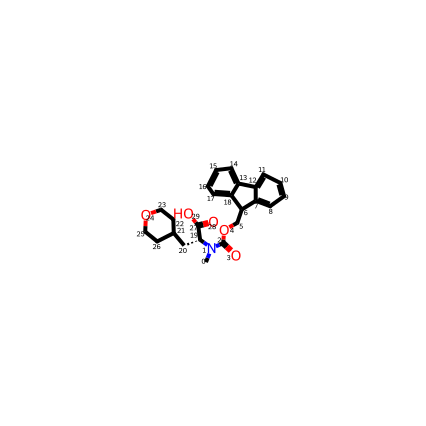 CN(C(=O)OCC1c2ccccc2-c2ccccc21)[C@H](CC1CCOCC1)C(=O)O